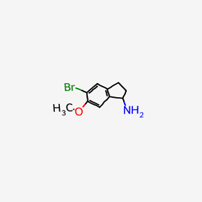 COc1cc2c(cc1Br)CCC2N